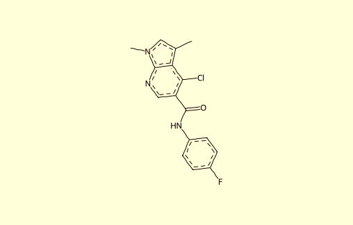 Cc1cn(C)c2ncc(C(=O)Nc3ccc(F)cc3)c(Cl)c12